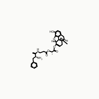 C=C(NCCC(=O)O[C@@H](C)C(=O)OC1=CC[C@@]2(O)[C@H]3Cc4ccc(O)c5c4[C@@]2(CCN3C)[C@H]1O5)[C@@H](N)Cc1ccccc1